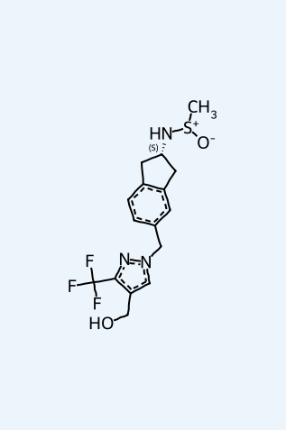 C[S+]([O-])N[C@H]1Cc2ccc(Cn3cc(CO)c(C(F)(F)F)n3)cc2C1